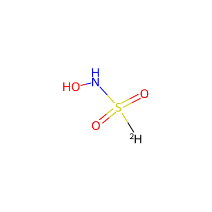 [2H]S(=O)(=O)NO